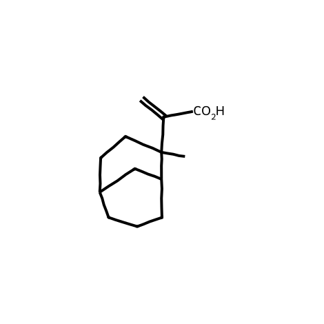 C=C(C(=O)O)C1(C)CCC2CCCC1C2